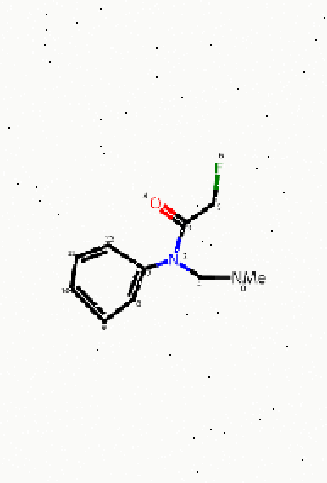 CNCN(C(=O)CF)c1ccccc1